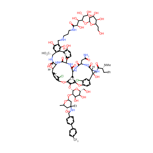 CCC1(NCc2ccc(-c3ccc(C(F)(F)F)cc3)cc2)C[C@H](O[C@@H]2C(O)C(O)[C@@H](CO)O[C@H]2Oc2c3cc4cc2Oc2ccc(cc2Cl)[C@@H](O)[C@@H](NC(=O)[C@@H](CC(C)C)NC)C(=O)NC(CC(N)=O)C(=O)N[C@H]4C(=O)N[C@H]2C(=O)N[C@H](C(=O)N[C@H](C(=O)O)c4cc(O)c(CNCCCNC(=O)[C@H](O)[C@@H](O)[C@H](O[C@@H]5OC(CCO)[C@H](O)[C@H](O)C5O)[C@H](O)CO)c(O)c4-c4cc2ccc4O)[C@H](O)c2ccc(c(Cl)c2)O3)OC(C)[C@H]1O